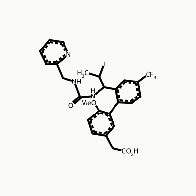 COc1ccc(CC(=O)O)cc1-c1ccc(C(F)(F)F)cc1C(NC(=O)NCc1ccccn1)C(C)I